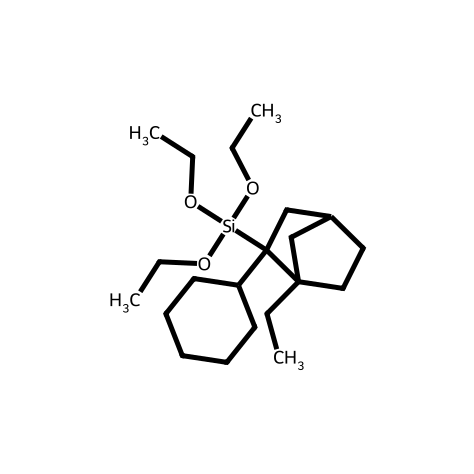 CCO[Si](OCC)(OCC)C1(C2CCCCC2)CC2CCC1(CC)C2